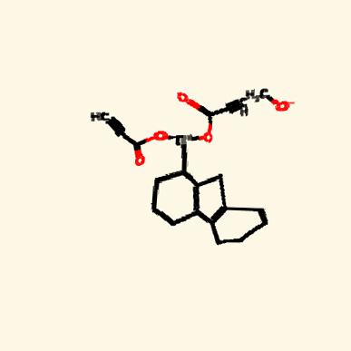 C#CC(=O)[O][Ti+]([O]C(=O)C#C)[CH]1CCCC2=C1CC1=C2CCCC1.C[O-]